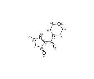 CN1CC(=O)C(C(=O)N2CCOCC2)=N1